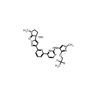 CN1CC[C@@](O)(c2cc(-c3cccc(-c4ccnc(Nc5cn(C)nc5OCC(C)(F)F)n4)n3)no2)C1=O